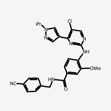 COc1cc(C(=O)NCc2ccc(C#N)cc2)ccc1Nc1ncc(Cl)c(-c2cnn(C(C)C)c2)n1